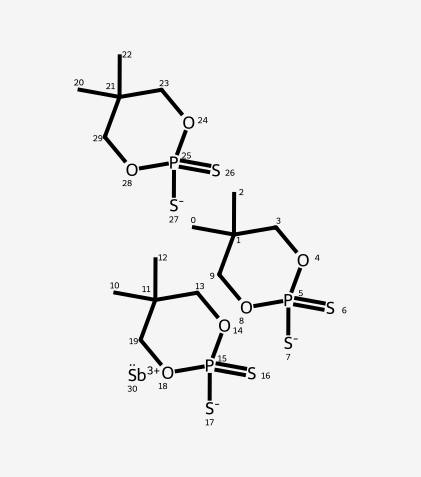 CC1(C)COP(=S)([S-])OC1.CC1(C)COP(=S)([S-])OC1.CC1(C)COP(=S)([S-])OC1.[Sb+3]